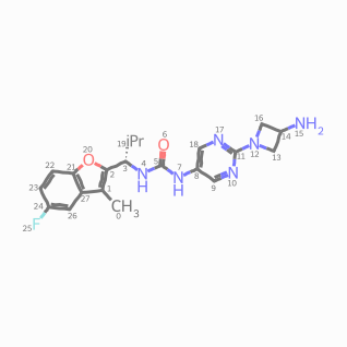 Cc1c([C@@H](NC(=O)Nc2cnc(N3CC(N)C3)nc2)C(C)C)oc2ccc(F)cc12